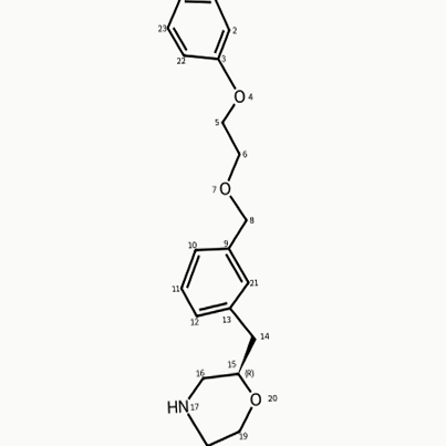 c1ccc(OCCOCc2cccc(C[C@@H]3CNCCO3)c2)cc1